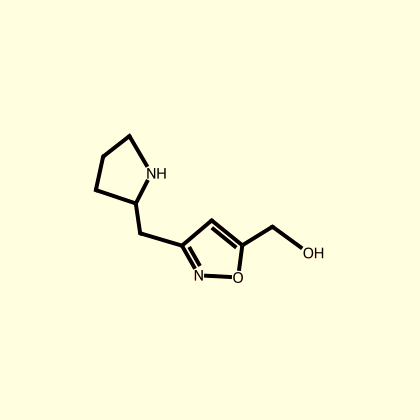 OCc1cc(CC2CCCN2)no1